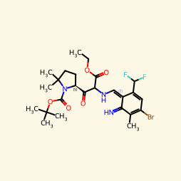 CCOC(=O)C(N/C=C1\C(=N)C(C)=C(Br)C=C1C(F)F)C(=O)[C@@H]1CCC(C)(C)N1C(=O)OC(C)(C)C